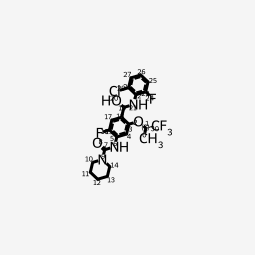 C[C@H](Oc1cc(NC(=O)N2CCCCC2)c(F)cc1C(O)Nc1c(F)cccc1Cl)C(F)(F)F